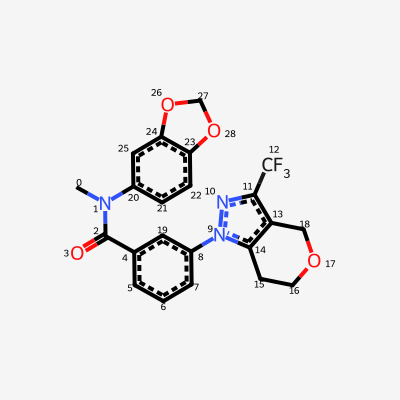 CN(C(=O)c1cccc(-n2nc(C(F)(F)F)c3c2CCOC3)c1)c1ccc2c(c1)OCO2